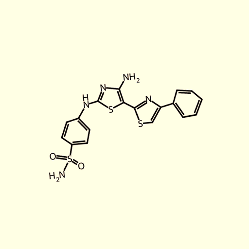 Nc1nc(Nc2ccc(S(N)(=O)=O)cc2)sc1-c1nc(-c2ccccc2)cs1